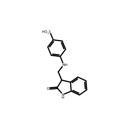 O=C1Nc2ccccc2C1CNc1ccc(S(=O)(=O)O)cc1